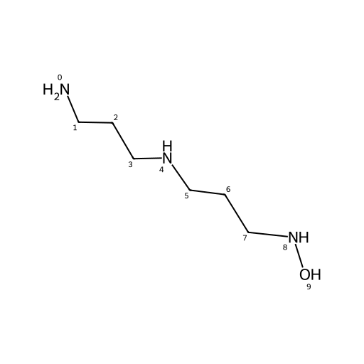 NCCCNCCCNO